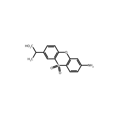 CC(C(=O)O)c1ccc2c(c1)S(=O)(=O)c1ccc(N)cc1O2